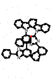 c1ccc(-c2nc(-c3cccc4ccccc34)nc(-n3c4ccccc4c4ccc5c6ccccc6n(-c6ccc(-c7cccc8nc(-c9ccccc9)oc78)cc6)c5c43)n2)cc1